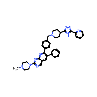 CN1CCN(c2ncc3cc(-c4ccccc4)c(-c4ccc(CN5CCC(c6nnc(-c7ccccn7)[nH]6)CC5)cc4)nc3n2)CC1